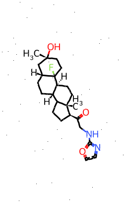 C[C@@]1(O)CC[C@@]2(F)[C@H](CC[C@H]3C4CC[C@H](C(=O)CNc5ncco5)[C@@]4(C)CC[C@@H]32)C1